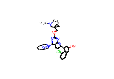 CN(C)CC1(COc2nc(N3CC4CCC(C3)N4)c3ccc(-c4cc(O)cc5cccc(Cl)c45)nc3n2)CC1